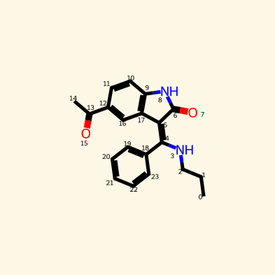 CCCN/C(=C1\C(=O)Nc2ccc(C(C)=O)cc21)c1ccccc1